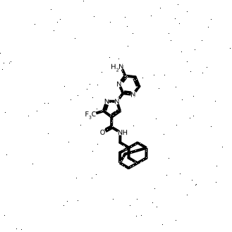 Nc1ccnc(-n2cc(C(=O)NCC34CC5CC(CC(C5)C3)C4)c(C(F)(F)F)n2)n1